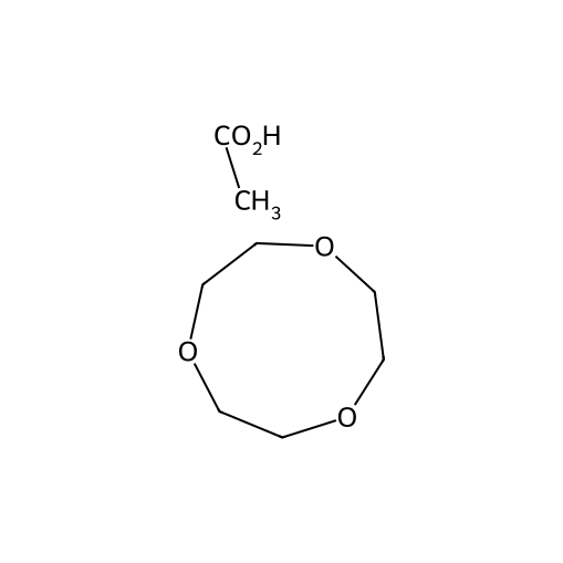 C1COCCOCCO1.CC(=O)O